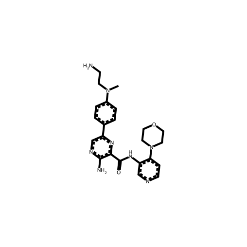 CN(CCN)c1ccc(-c2cnc(N)c(C(=O)Nc3cnccc3N3CCOCC3)n2)cc1